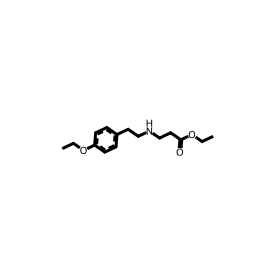 CCOC(=O)CCNCCc1ccc(OCC)cc1